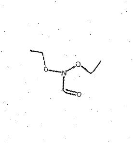 CCON([C]=O)OCC